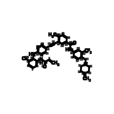 C=CC(=O)Nc1cccc(Cl)c1Nc1ncc(C#Cc2cc(C(=O)Nc3ccc(CN4CCN(C)CC4)c(C(F)(F)F)c3)ccc2C)cn1